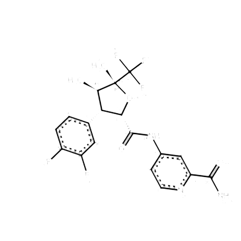 C[C@@H]1[C@@H](c2ccc(F)c(F)c2)[C@@H](C(=O)Nc2ccnc(C(N)=O)c2)O[C@@]1(C)C(F)(F)F